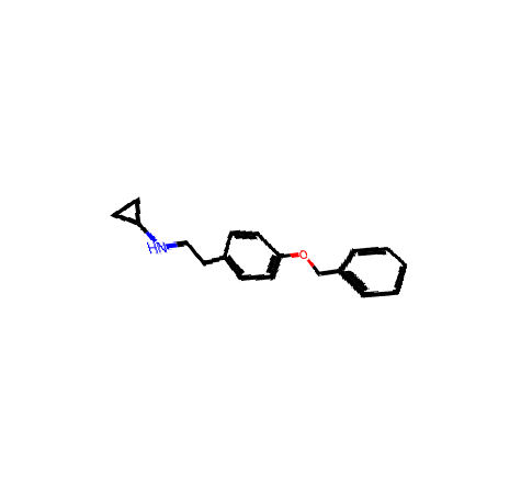 c1ccc(COc2ccc(CCNC3CC3)cc2)cc1